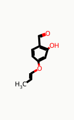 CC=COc1ccc(C=O)c(O)c1